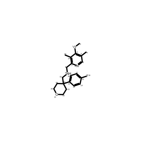 COc1c(C)cnc(CNCC2(c3ccc(F)cc3)CCOCC2)c1C